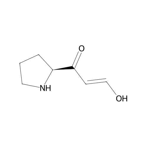 O=C(C=CO)[C@@H]1CCCN1